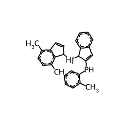 Cc1ccccc1PC1=Cc2ccccc2[CH]1[Hf][CH]1C=Cc2c(C)ccc(C)c21